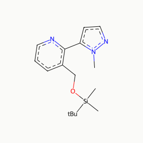 Cn1nccc1-c1ncccc1CO[Si](C)(C)C(C)(C)C